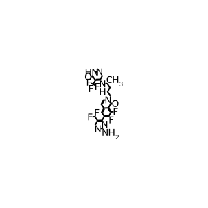 CC(CCCn1ccc2cc(-c3nc(N)ncc3C(F)F)c(F)c(F)c2c1=O)Nc1cn[nH]c(=O)c1C(F)(F)F